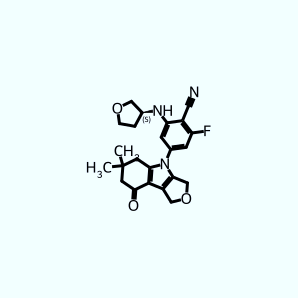 CC1(C)CC(=O)c2c3c(n(-c4cc(F)c(C#N)c(N[C@H]5CCOC5)c4)c2C1)COC3